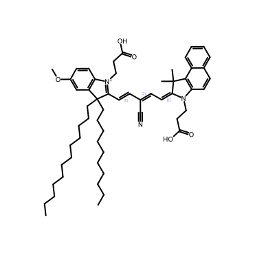 CCCCCCCCCCCCC1(CCCCCCCCCC)C(/C=C/C(C#N)=C/C=C2/N(CCC(=O)O)c3ccc4ccccc4c3C2(C)C)=[N+](CCC(=O)O)c2ccc(OC)cc21